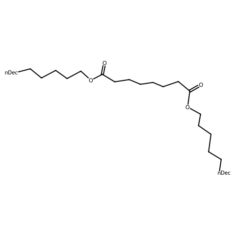 CCCCCCCCCCCCCCCOC(=O)CCCCCCC(=O)OCCCCCCCCCCCCCCC